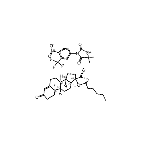 CC1(C)NC(=O)N(c2ccc([N+](=O)[O-])c(C(F)(F)F)c2)C1=O.CCCCCC(=O)O[C@]1(C(C)=O)CC[C@H]2[C@@H]3CCC4=CC(=O)CC[C@]4(C)[C@H]3CC[C@@]21C